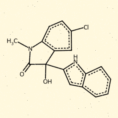 CN1C(=O)C(O)(c2cc3ccccc3[nH]2)c2cc(Cl)ccc21